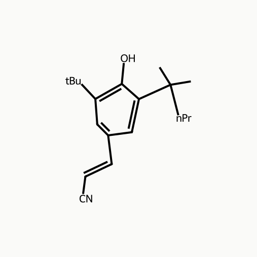 CCCC(C)(C)c1cc(C=CC#N)cc(C(C)(C)C)c1O